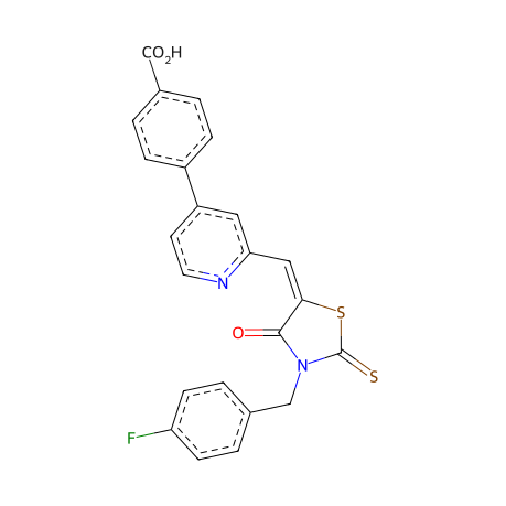 O=C(O)c1ccc(-c2ccnc(/C=C3/SC(=S)N(Cc4ccc(F)cc4)C3=O)c2)cc1